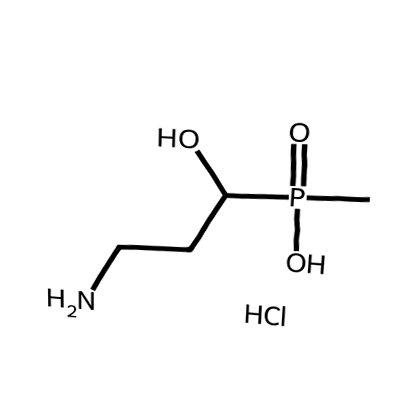 CP(=O)(O)C(O)CCN.Cl